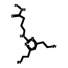 CCNC(=O)CCCNc1nc(CCC(C)C)cc(CCC(C)C)n1